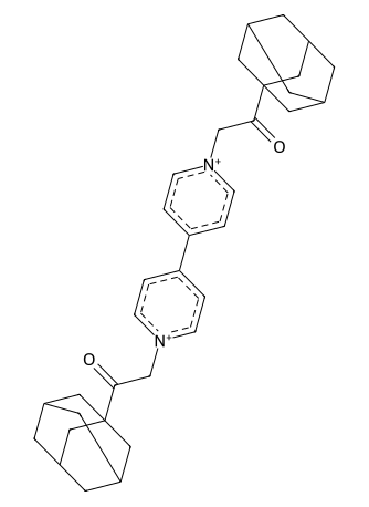 O=C(C[n+]1ccc(-c2cc[n+](CC(=O)C34CC5CC(CC(C5)C3)C4)cc2)cc1)C12CC3CC(CC(C3)C1)C2